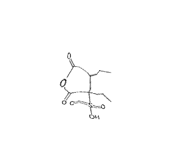 CCC1C(=O)OC(=O)C1(CC)S(=O)(=O)O